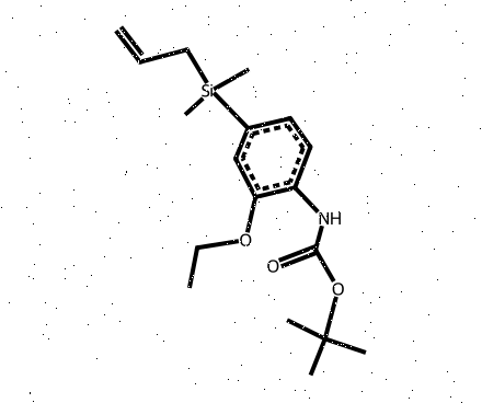 C=CC[Si](C)(C)c1ccc(NC(=O)OC(C)(C)C)c(OCC)c1